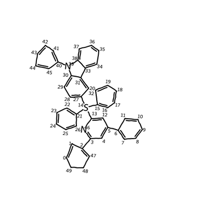 C1=CC(c2cc(-c3ccccc3)cc(S(c3ccccc3)(c3ccccc3)c3ccc4c(c3)c3ccccc3n4-c3ccccc3)n2)=CCC1